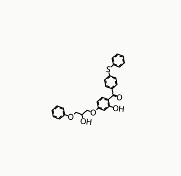 O=C(c1ccc(Sc2ccccc2)cc1)c1ccc(OCC(O)COc2ccccc2)cc1O